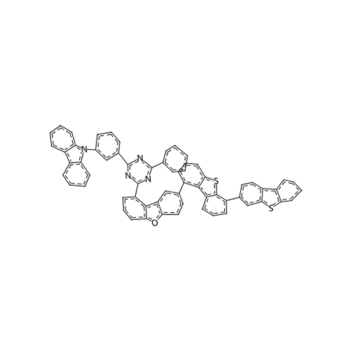 c1ccc(-c2nc(-c3cccc(-n4c5ccccc5c5ccccc54)c3)nc(-c3cccc4oc5ccc(-c6cccc7sc8c(-c9ccc%10c(c9)sc9ccccc9%10)cccc8c67)cc5c34)n2)cc1